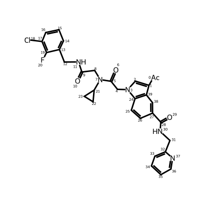 CC(=O)c1cn(CC(=O)N(CC(=O)NCc2cccc(Cl)c2F)C2CC2)c2ccc(C(=O)NCc3ccccn3)cc12